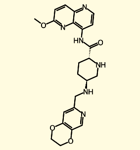 COc1ccc2nccc(NC(=O)[C@H]3CC[C@H](NCc4cc5c(cn4)OCCO5)CN3)c2n1